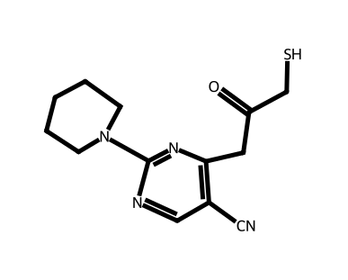 N#Cc1cnc(N2CCCCC2)nc1CC(=O)CS